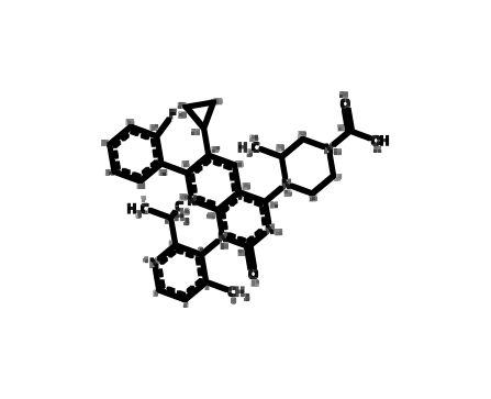 Cc1ccnc(C(C)C)c1-n1c(=O)nc(N2CCN(C(=O)O)CC2C)c2cc(C3CC3)c(-c3ccccc3F)nc21